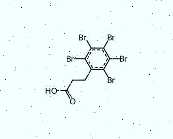 O=C(O)CCc1c(Br)c(Br)c(Br)c(Br)c1Br